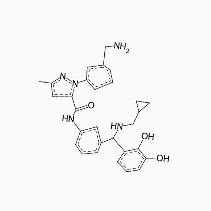 Cc1cc(C(=O)Nc2cccc(C(NCC3CC3)c3cccc(O)c3O)c2)n(-c2cccc(CN)c2)n1